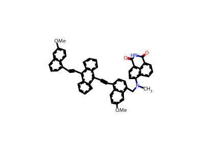 COc1ccc2c(C#Cc3c4ccccc4c(C#Cc4ccc(CN(C)c5ccc6c7c(cccc57)C(=O)NC6=O)c5cc(OC)ccc45)c4ccccc34)cccc2c1